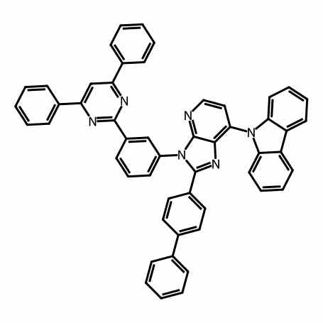 c1ccc(-c2ccc(-c3nc4c(-n5c6ccccc6c6ccccc65)ccnc4n3-c3cccc(-c4nc(-c5ccccc5)cc(-c5ccccc5)n4)c3)cc2)cc1